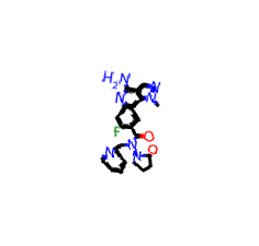 Cn1ncc2c(N)nc3cc(F)c(C(=O)N(Cc4ccccn4)N4CCCC4=O)cc3c21